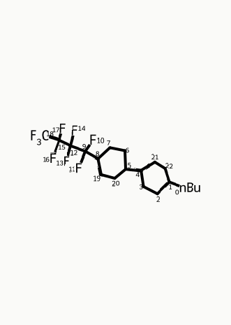 CCCCC1CCC(C2CCC(C(F)(F)C(F)(F)C(F)(F)C(F)(F)F)CC2)CC1